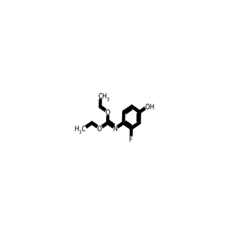 CCOC(=Nc1ccc(O)cc1F)OCC